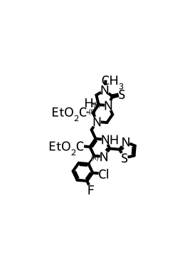 CCOC(=O)C1=C(CN2CCN3C(=S)N(C)C[C@@H]3[C@H]2C(=O)OCC)NC(c2nccs2)=N[C@H]1c1cccc(F)c1Cl